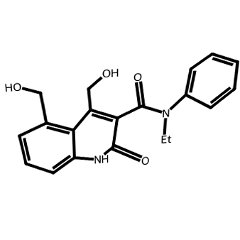 CCN(C(=O)c1c(CO)c2c(CO)cccc2[nH]c1=O)c1ccccc1